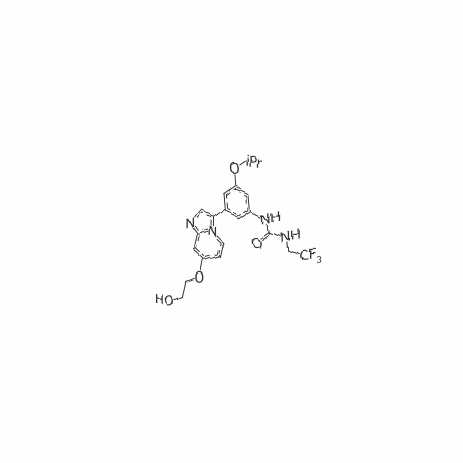 CC(C)Oc1cc(NC(=O)NCC(F)(F)F)cc(-c2cnc3cc(OCCO)ccn23)c1